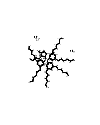 CCCCCCc1cc(CCCCCC)cc([Si](C2=C(CCCC)[C]([Ti+3])=CC2)(c2cc(CCCCCC)cc(CCCCCC)c2)c2cc(CCCCCC)cc(CCCCCC)c2)c1.[Cl-].[Cl-].[Cl-]